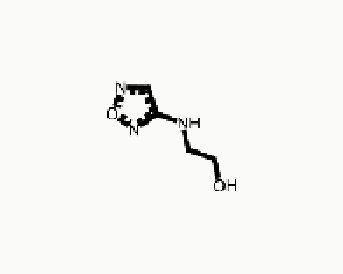 OCCNc1cnon1